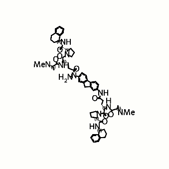 CN[C@@H](C)C(=O)N[C@@H](CCC(=O)Nc1ccc2c(c1)Cc1cc(N(N)C(=O)CC[C@H](NC(=O)[C@H](C)NC)C(=O)N3CCC[C@H]3C(=O)N[C@@H]3CCCc4ccccc43)ccc1-2)C(=O)N1CCC[C@H]1C(=O)N[C@@H]1CCCc2ccccc21